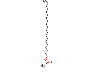 C=CCCCCCCCCCCCCCCCCCCOC(C)=O